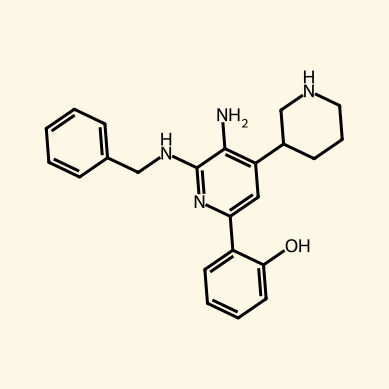 Nc1c(C2CCCNC2)cc(-c2ccccc2O)nc1NCc1ccccc1